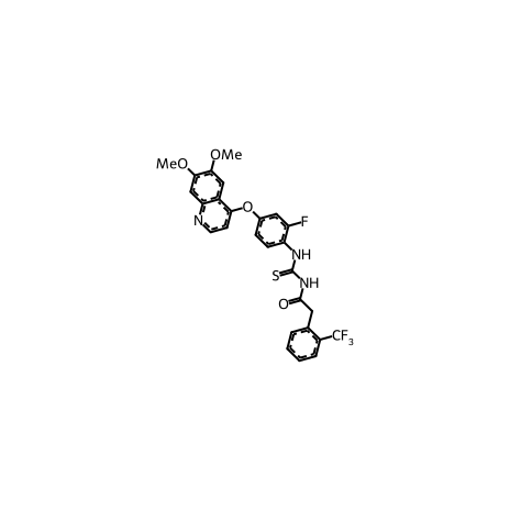 COc1cc2nccc(Oc3ccc(NC(=S)NC(=O)Cc4ccccc4C(F)(F)F)c(F)c3)c2cc1OC